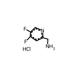 Cl.NCc1cc(F)c(F)cn1